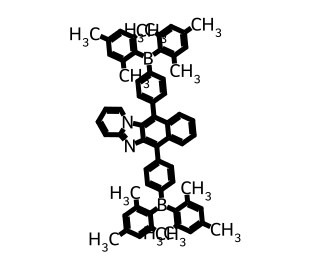 Cc1cc(C)c(B(c2ccc(-c3c4ccccc4c(-c4ccc(B(c5c(C)cc(C)cc5C)c5c(C)cc(C)cc5C)cc4)c4c3nc3ccccn34)cc2)c2c(C)cc(C)cc2C)c(C)c1